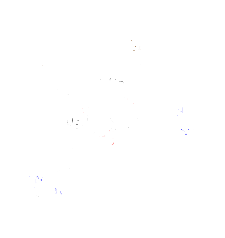 COc1c(-c2ccc(C3=NCCN3)cc2)oc(-c2ccc(C3=NCCN3)cc2)c1C(C(=O)c1ccc(Br)cc1)C(OC)C(=O)c1ccc(Br)cc1